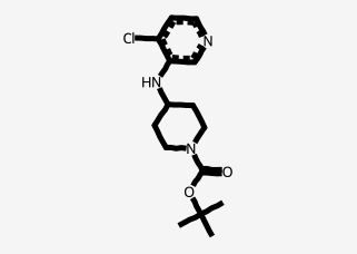 CC(C)(C)OC(=O)N1CCC(Nc2cnccc2Cl)CC1